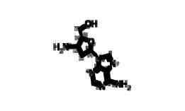 Nc1ncnc2c1ncn2[C@H]1CC(N)[C@@H](CO)O1